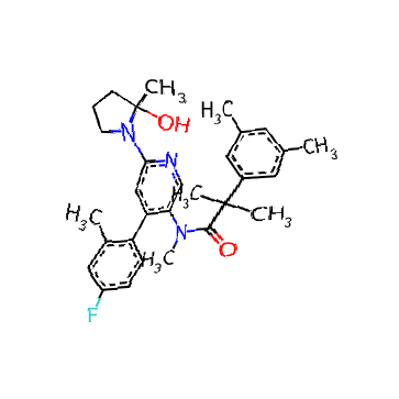 Cc1cc(C)cc(C(C)(C)C(=O)N(C)c2cnc(N3CCCC3(C)O)cc2-c2ccc(F)cc2C)c1